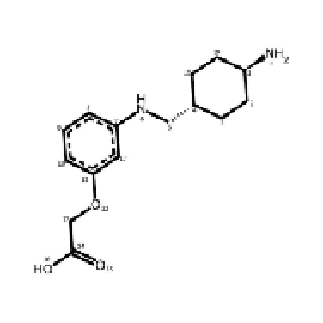 N[C@H]1CC[C@H](CNc2cccc(OCC(=O)O)c2)CC1